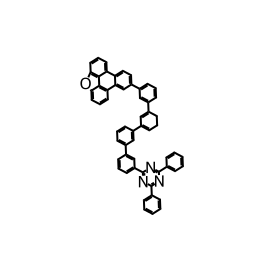 C1=C(c2cccc(-c3cccc(-c4nc(-c5ccccc5)nc(-c5ccccc5)n4)c3)c2)C=C(c2cccc(-c3ccc4c(c3)c3cccc5oc6cccc4c6c53)c2)CC1